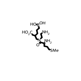 CSCCC[C@H](N)C(=O)N(CCN)CC(CCCB(O)O)CC(=O)O